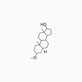 COC1CCC2(C)C3CCC4(C)C(CC[C@@H]4O)C3CC[C@H]2C1